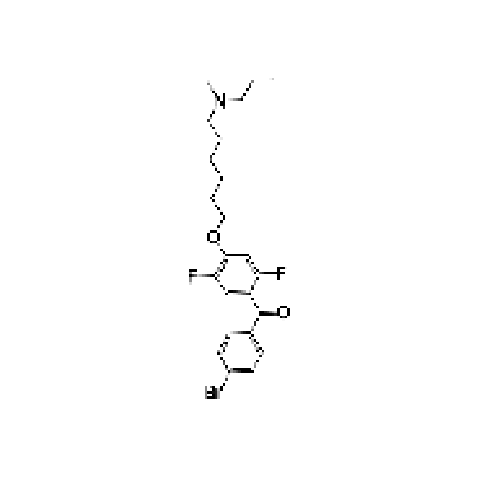 C=CCN(C)CCCCCCOc1cc(F)c(C(=O)c2ccc(Br)cc2)cc1F